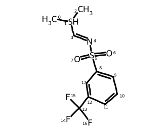 C[SH](C)C=NS(=O)(=O)c1cccc(C(F)(F)F)c1